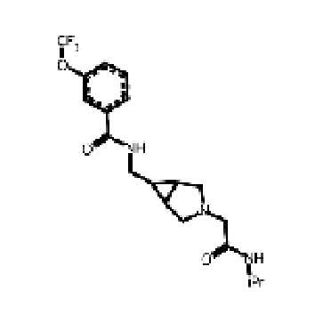 CC(C)NC(=O)CN1CC2C(CNC(=O)c3cccc(OC(F)(F)F)c3)C2C1